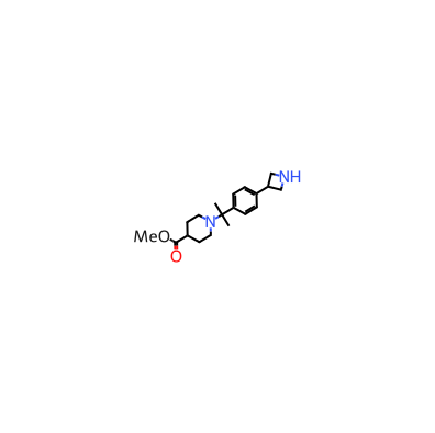 COC(=O)C1CCN(C(C)(C)c2ccc(C3CNC3)cc2)CC1